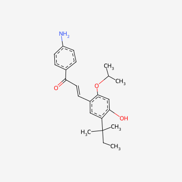 CCC(C)(C)c1cc(/C=C/C(=O)c2ccc(N)cc2)c(OC(C)C)cc1O